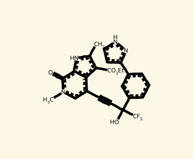 CCOC(=O)c1c(C)[nH]c2c(=O)n(C)cc(C#CC(O)(c3cccc(-c4cc[nH]n4)c3)C(F)(F)F)c12